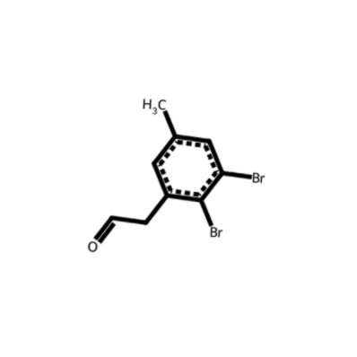 Cc1cc(Br)c(Br)c(CC=O)c1